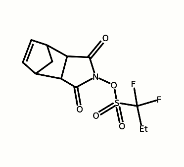 CCC(F)(F)S(=O)(=O)ON1C(=O)C2C3C=CC(C3)C2C1=O